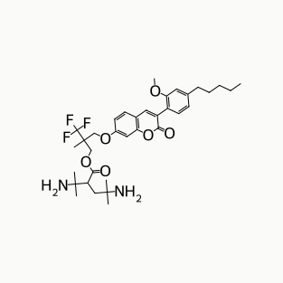 CCCCCc1ccc(-c2cc3ccc(OCC(C)(COC(=O)C(CC(C)(C)N)C(C)(C)N)C(F)(F)F)cc3oc2=O)c(OC)c1